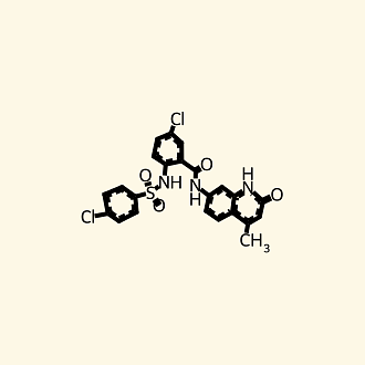 Cc1cc(=O)[nH]c2cc(NC(=O)c3cc(Cl)ccc3NS(=O)(=O)c3ccc(Cl)cc3)ccc12